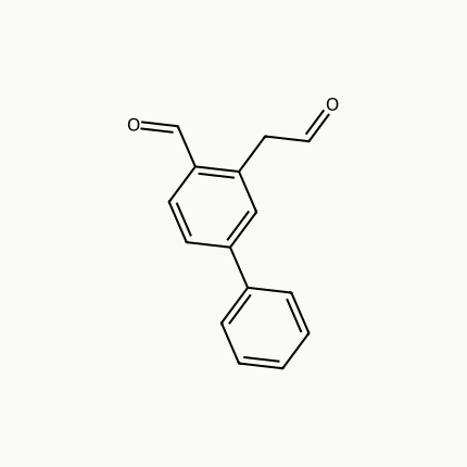 O=CCc1cc(-c2ccccc2)ccc1C=O